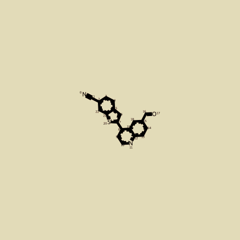 N#Cc1ccc2cc(-c3ccnc4ccc(C=O)cc34)sc2c1